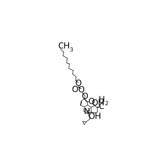 C=C1CC[C@@]2(O)C3CC4C=CC(OCOC(=O)OCCCCCCCCCCCC)=C5O[C@]1(O)[C@]2(CCN3CC1CC1)C54